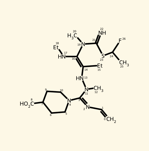 C=C/N=C(/N1CCC(C(=O)O)CC1)N(C)N/C(CC)=C(\NCC)N(C)C(=N)SC(C)F